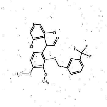 COc1ccc(C(C=O)c2c(Cl)cncc2Cl)c(OCc2cccc(C(F)(F)F)c2)c1OC